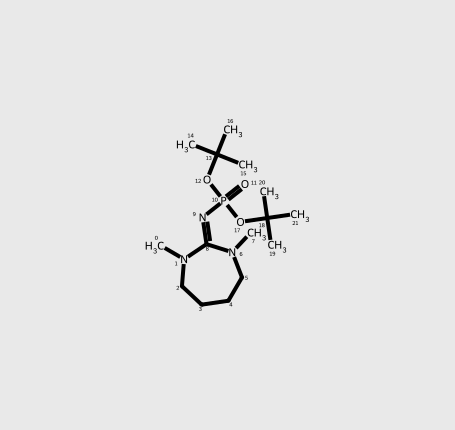 CN1CCCCN(C)C1=NP(=O)(OC(C)(C)C)OC(C)(C)C